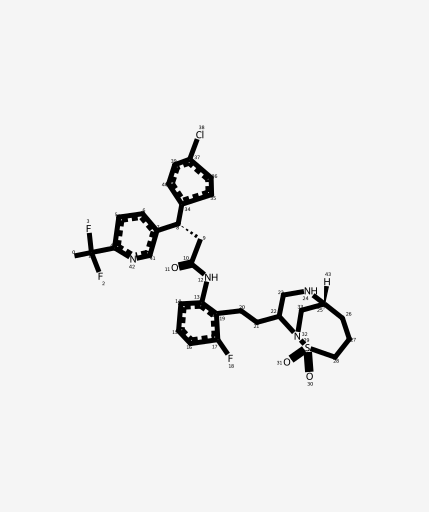 CC(F)(F)c1ccc([C@@H](CC(=O)Nc2cccc(F)c2CCC2CN[C@@H]3CCCS(=O)(=O)N2C3)c2ccc(Cl)cc2)cn1